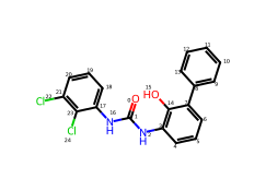 O=C(Nc1cccc(-c2ccccc2)c1O)Nc1cccc(Cl)c1Cl